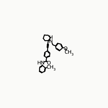 COc1ccc(CNC2(C#Cc3ccc(C(=O)Nc4ccccc4C)cc3)CCCCC2)cc1